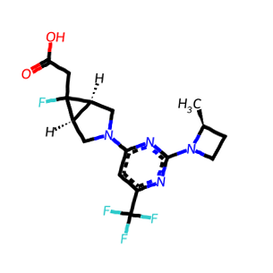 C[C@H]1CCN1c1nc(N2C[C@@H]3[C@H](C2)C3(F)CC(=O)O)cc(C(F)(F)F)n1